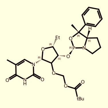 CC[C@H]1O[C@@H](n2cc(C)c(=O)[nH]c2=O)C(OCOC(=O)C(C)(C)C)[C@H]1O[P@@]1O[C@](C)(c2ccccc2)[C@@H]2CCCN21